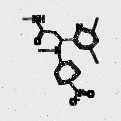 CNC(=O)CC(c1cc(C)cc(C)n1)N(C)c1ccc([N+](=O)[O-])cc1